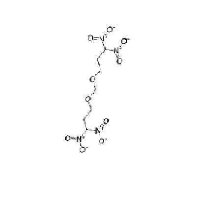 O=[N+]([O-])C(CCOCOCCC([N+](=O)[O-])[N+](=O)[O-])[N+](=O)[O-]